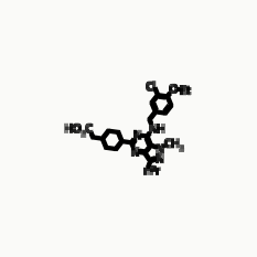 CCCc1nn(C)c2c(NCc3ccc(OCC)c(Cl)c3)nc(C3CCC(CC(=O)O)CC3)nc12